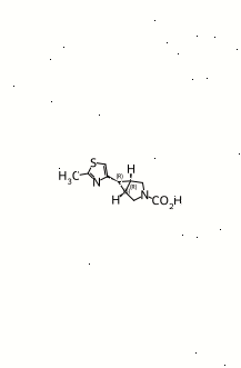 Cc1nc([C@H]2[C@@H]3CN(C(=O)O)C[C@@H]32)cs1